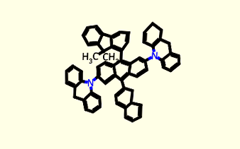 CC1(C)c2ccccc2-c2cccc(-c3c4ccc(N5c6ccccc6Cc6ccccc65)cc4c(C4=CC=C5C=CC=CC5C4)c4ccc(N5C6=C(CCC=C6)Cc6ccccc65)cc34)c21